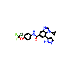 O=C(Nc1ccc(OC(F)(F)Cl)cc1)c1cc(-c2ccn[nH]2)c2c(c1)ncn2C1CC1